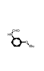 CC(C)(C)Oc1cccc(N[C]=O)c1